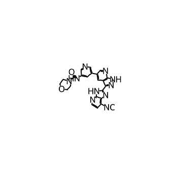 [C-]#[N+]c1ccnc2[nH]c(-c3n[nH]c4ncc(-c5cncc(NC(=O)N6CCOCC6)c5)cc34)nc12